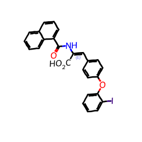 O=C(O)/C(=C\c1ccc(Oc2ccccc2I)cc1)NC(=O)c1cccc2ccccc12